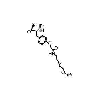 CCCOCCOCCNC(=O)COc1ccc(CC(NC(C)C)C(=O)C(C)C)cc1